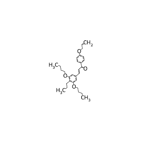 C=CCOc1ccc(C(=O)C=Cc2cc(OCCCC)c(CCC)c(OCCCC)c2)cc1